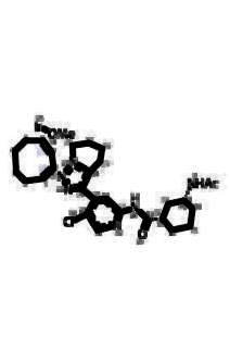 C1=C\CCCC\C=C/1.CC(=O)N[C@@H]1CCC[C@H](C(=O)Nc2cc(-c3nnn4c3CCCC4)c(Cl)cn2)C1.C[O][Ir]